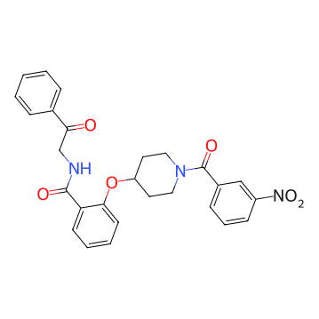 O=C(CNC(=O)c1ccccc1OC1CCN(C(=O)c2cccc([N+](=O)[O-])c2)CC1)c1ccccc1